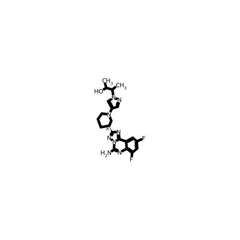 CC(O)C(C)n1cc(N2CCC[C@@H](c3nc4c5cc(F)cc(F)c5nc(N)n4n3)C2)cn1